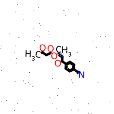 CC(=O)CC(=O)O/C(C)=C\C(=O)c1ccc(C#N)cc1